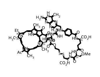 C=C1NC(N)=Nc2ncc(CNc3ccc(C(=O)N[C@@H](CCC(=O)N[C@@H](COC)C(=O)N[C@@H](CSSCCOC(=O)NNC(=O)C4C(=O)c5c(C)c6cc7nc(cc8[nH]c(cc9nc(c4c5[nH]6)[C@@H](CCC(=O)NC(=N)N)[C@@H]9C)c(C)c8C(C)=O)[C@H](C)[C@H]7CC)C(=O)O)C(=O)O)cc3)nc21